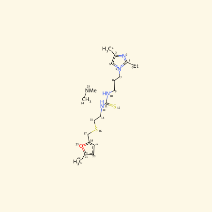 CCc1nc(C)cn1CCCNC(=S)NCCSCc1ccc(C)o1.CNC